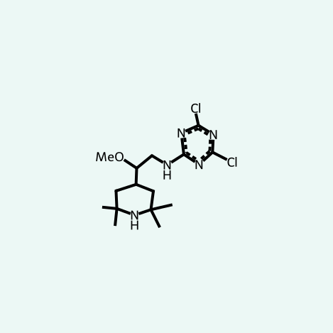 COC(CNc1nc(Cl)nc(Cl)n1)C1CC(C)(C)NC(C)(C)C1